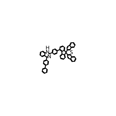 c1ccc(-c2ccc(C3=NC(c4ccc(-c5cccc6c5-c5ccccc5C65c6ccc7ccccc7c6Sc6c5ccc5ccccc65)cc4)Nc4ccccc43)cc2)cc1